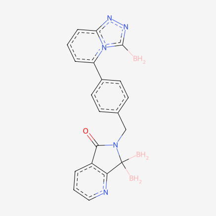 Bc1nnc2cccc(-c3ccc(CN4C(=O)c5cccnc5C4(B)B)cc3)n12